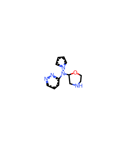 c1cnnc(N(C2CNCCO2)n2cccc2)c1